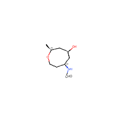 C[C@H]1CC(O)C[C@@H](NC=O)CCO1